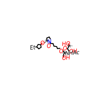 CCC1CCC(OC[C@@H]2CCCN2C(=O)CCCCCOC(OC(CO)[C@@H](C)O)[C@H](CO)NC(C)=O)C1